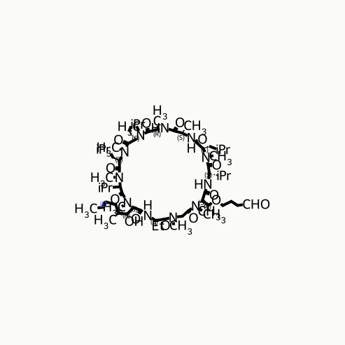 C/C=C/C[C@@H](C)[C@@H](O)[C@H]1C(=O)N[C@@H](CC)C(=O)N(C)CC(=O)N(C)[C@@H]([C@@H](C)OCCCC=O)C(=O)N[C@@H](C(C)C)C(=O)N(C)[C@@H](CC(C)C)C(=O)N[C@@H](C)C(=O)N[C@H](C)C(=O)N(C)[C@@H](CC(C)C)C(=O)N(C)[C@H](CC(C)C)C(=O)N(C)C(C(C)C)C(=O)N1C